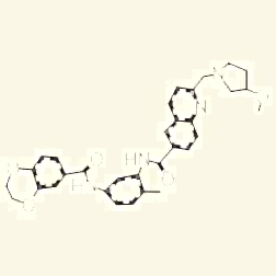 COC1CCN(Cc2ccc3cc(C(=O)Nc4cc(NC(=O)c5ccc6c(c5)OCCO6)ccc4C)ccc3n2)C1